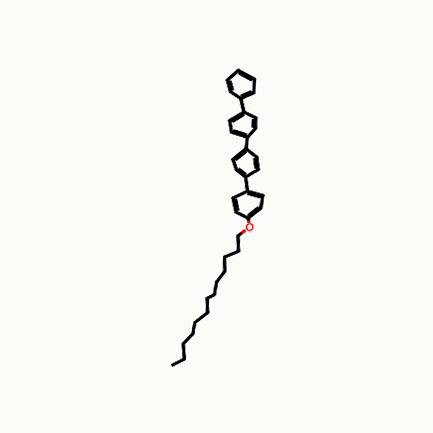 CCCCCCCCCCCCCOc1ccc(-c2ccc(-c3ccc(-c4ccccc4)cc3)cc2)cc1